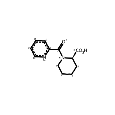 O=C(O)[C@H]1CCCCN1C(=O)c1ccccn1